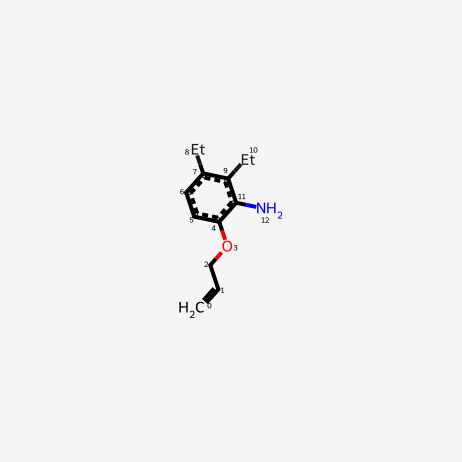 C=CCOc1ccc(CC)c(CC)c1N